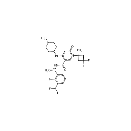 C[C@@H](NC(=O)c1cn(C2(C)CC(F)(F)C2)c(=O)cc1NC1CCN(C)CC1)c1cccc(C(F)F)c1F